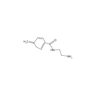 C=C1C=CC(C(=O)NCCN)=CC1